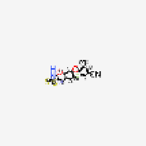 N#Cc1ccc(Oc2ccc(/C=C3/SC(=S)NC3=O)cc2F)c(C(F)(F)F)c1